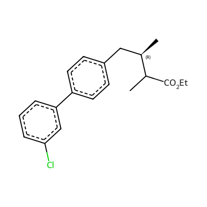 CCOC(=O)C(C)[C@H](C)Cc1ccc(-c2cccc(Cl)c2)cc1